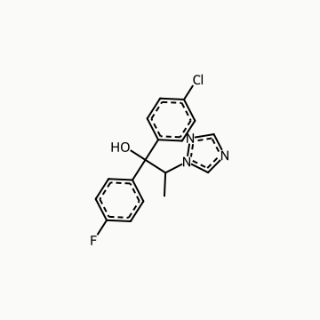 CC(n1cncn1)C(O)(c1ccc(F)cc1)c1ccc(Cl)cc1